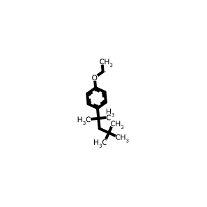 C[CH]Oc1ccc(C(C)(C)CC(C)(C)C)cc1